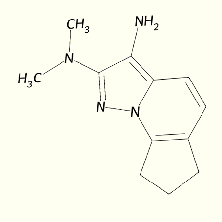 CN(C)c1nn2c3c(ccc2c1N)CCC3